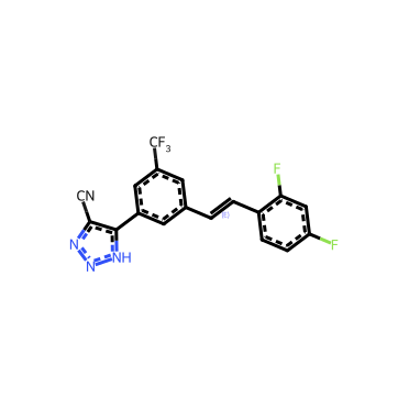 N#Cc1nn[nH]c1-c1cc(/C=C/c2ccc(F)cc2F)cc(C(F)(F)F)c1